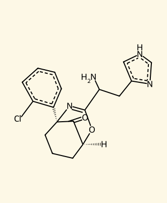 NC(Cc1c[nH]cn1)C1=N[C@]2(c3ccccc3Cl)CCC[C@H](O1)C2=O